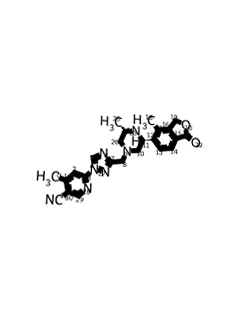 Cc1cc(-n2cnc(CN3C[C@@H](c4ccc5c(c4C)COC5=O)N[C@@H](C)C3)n2)ncc1C#N